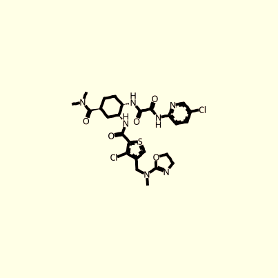 CN(C)C(=O)[C@H]1CC[C@H](NC(=O)C(=O)Nc2ccc(Cl)cn2)[C@H](NC(=O)c2scc(CN(C)C3=NCCO3)c2Cl)C1